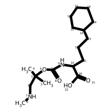 CNCC(C)(C)OC(=O)NC(CCCC1CCCCC1)C(=O)O